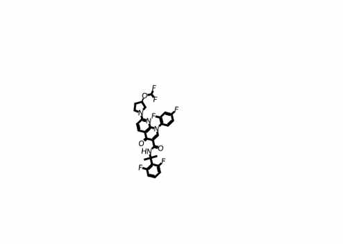 CC(C)(NC(=O)c1cn(-c2ccc(F)cc2F)c2nc(N3CC[C@@H](OC(F)F)C3)ccc2c1=O)c1c(F)cccc1F